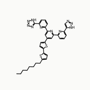 CCCCCCCCc1ccc(-c2ccc(-c3cc(-c4cccc(-c5cnn[nH]5)n4)nc(-c4cccc(-c5nnn[nH]5)n4)c3)s2)s1